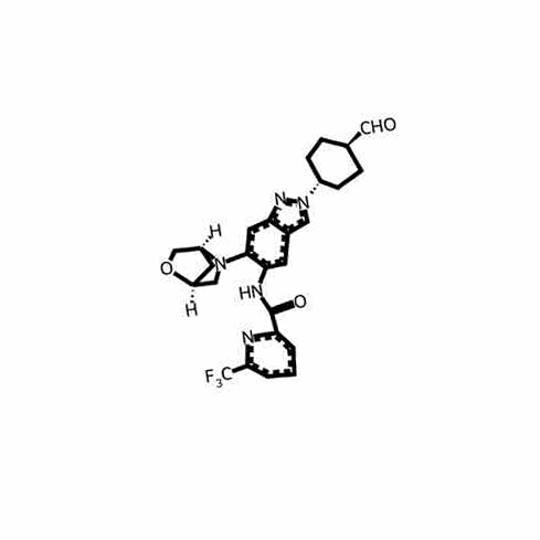 O=C[C@H]1CC[C@H](n2cc3cc(NC(=O)c4cccc(C(F)(F)F)n4)c(N4C[C@@H]5C[C@H]4CO5)cc3n2)CC1